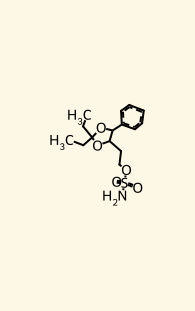 CCC1(CC)OC(CCOS(N)(=O)=O)C(c2ccccc2)O1